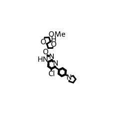 CO[C@@H]1COC2[C@H](Oc3nc4nc(-c5ccc(N6CCCC6)cc5)c(Cl)cc4[nH]3)CO[C@@H]21